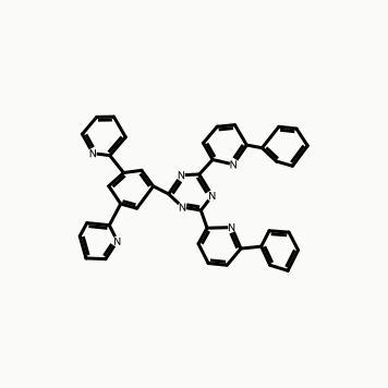 c1ccc(-c2cccc(-c3nc(-c4cc(-c5ccccn5)cc(-c5ccccn5)c4)nc(-c4cccc(-c5ccccc5)n4)n3)n2)cc1